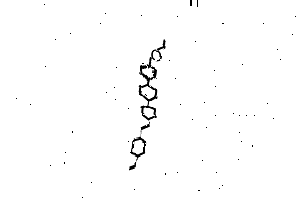 C=C[C@H]1CC[C@H](CC[C@H]2CC[C@H](C3CCC(c4ccc(COCCC)cc4)CC3)CC2)CC1